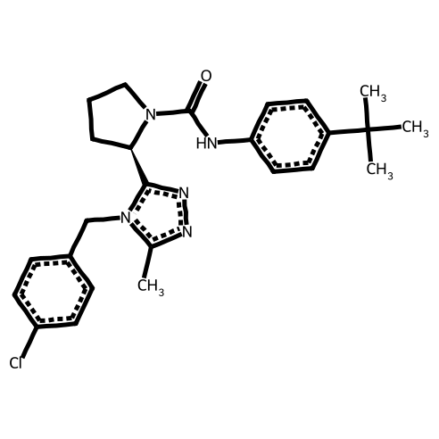 Cc1nnc([C@H]2CCCN2C(=O)Nc2ccc(C(C)(C)C)cc2)n1Cc1ccc(Cl)cc1